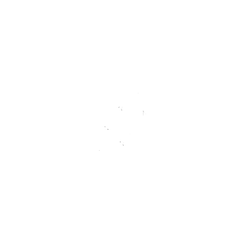 Cn1c(C(C)(C)C)nc2cnc(C(C)(C)C)nc21